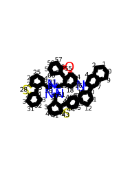 c1ccc2cc3c(cc2c1)c1ccccc1n3-c1cc(-c2nc(-c3cccc4sc5ccccc5c34)nc(-c3cccc4sc5ccccc5c34)n2)c2c(c1)oc1ccccc12